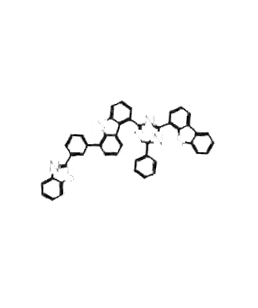 c1ccc(-c2nc(-c3cccc4c3sc3ccccc34)nc(-c3cccc4sc5c(-c6cccc(-c7nc8ccccc8s7)c6)cccc5c34)n2)cc1